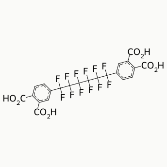 O=C(O)c1ccc(C(F)(F)C(F)(F)C(F)(F)C(F)(F)C(F)(F)C(F)(F)c2ccc(C(=O)O)c(C(=O)O)c2)cc1C(=O)O